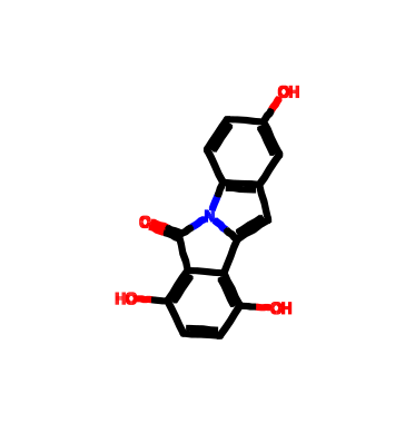 O=C1c2c(O)ccc(O)c2-c2cc3cc(O)ccc3n21